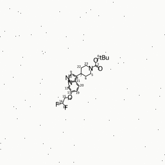 CC(C)(C)OC(=O)N1CCC(c2cnn3cc(OCC(F)F)ccc23)CC1